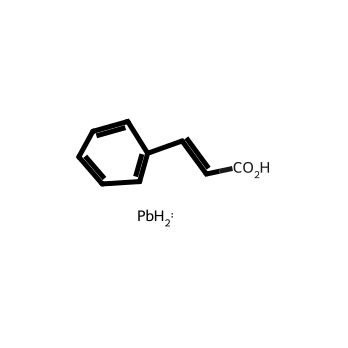 O=C(O)/C=C/c1ccccc1.[PbH2]